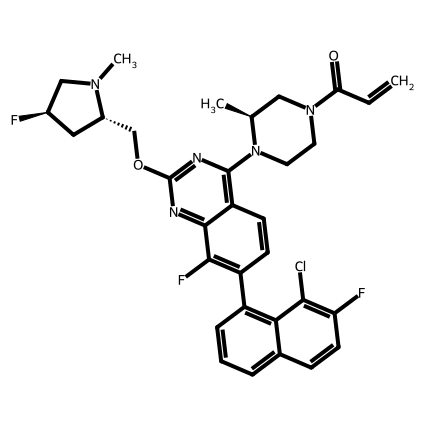 C=CC(=O)N1CCN(c2nc(OC[C@@H]3C[C@@H](F)CN3C)nc3c(F)c(-c4cccc5ccc(F)c(Cl)c45)ccc23)[C@@H](C)C1